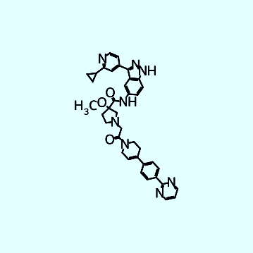 COC1(C(=O)Nc2ccc3[nH]nc(-c4ccnc(C5CC5)c4)c3c2)CCN(CC(=O)N2CC=C(c3ccc(-c4ncccn4)cc3)CC2)C1